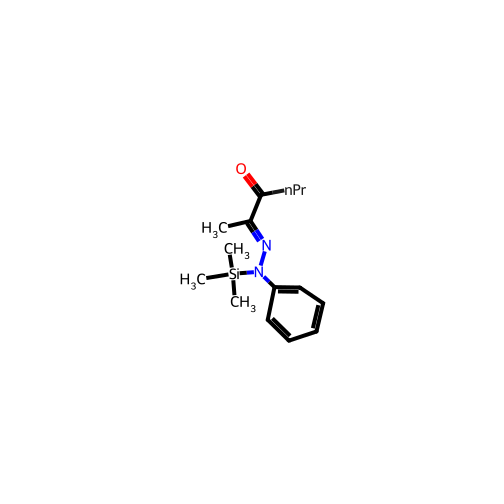 CCCC(=O)/C(C)=N/N(c1ccccc1)[Si](C)(C)C